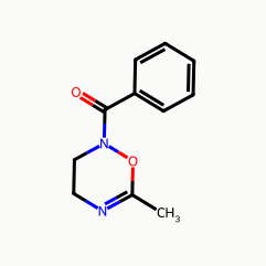 CC1=NCCN(C(=O)c2ccccc2)O1